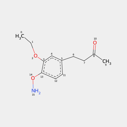 CCOc1cc(CCC(C)=O)ccc1ON